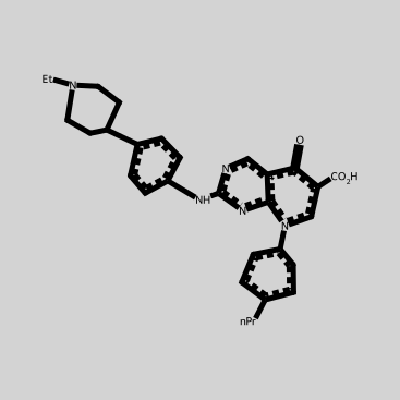 CCCc1ccc(-n2cc(C(=O)O)c(=O)c3cnc(Nc4ccc(C5CCN(CC)CC5)cc4)nc32)cc1